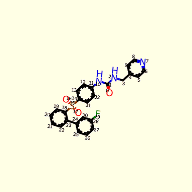 O=C(NCc1ccncc1)Nc1ccc(S(=O)(=O)c2ccccc2-c2cccc(F)c2)cc1